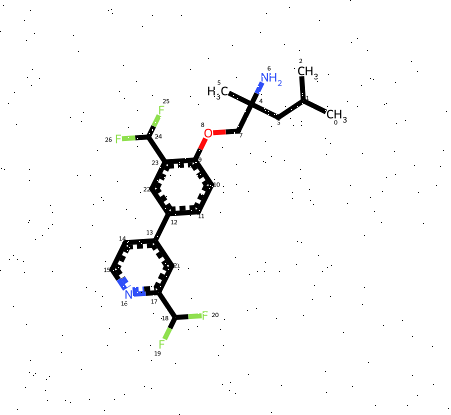 CC(C)CC(C)(N)COc1ccc(-c2ccnc(C(F)F)c2)cc1C(F)F